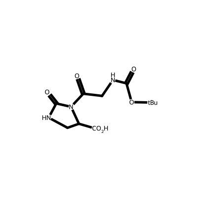 CC(C)(C)OC(=O)NCC(=O)N1C(=O)NCC1C(=O)O